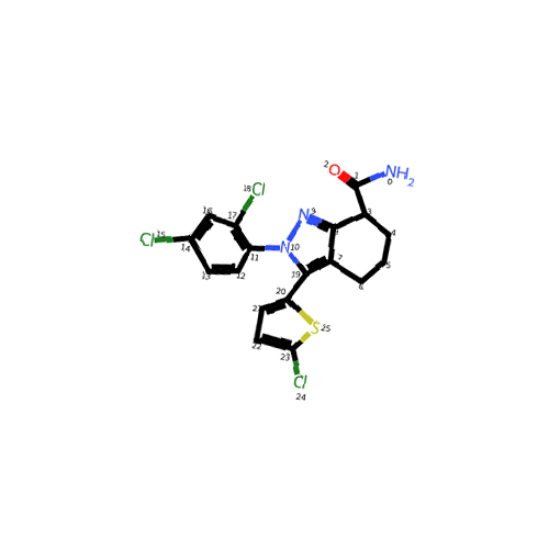 NC(=O)C1CCCc2c1nn(-c1ccc(Cl)cc1Cl)c2-c1ccc(Cl)s1